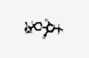 Cn1cnnc1C1(F)CCN(c2c(C#N)cc(C(F)(F)F)nc2Br)CC1